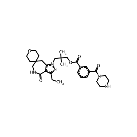 CCc1nn(CC(C)(C)COC(=O)c2cccc(C(=O)N3CCNCC3)c2)c2c1C(=O)NCC1(CCOCC1)C2